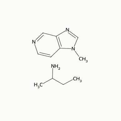 CCC(C)N.Cn1cnc2cnccc21